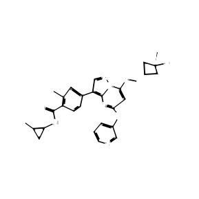 Cc1cc(-c2cnn3c(NC[C@H]4C[C@@](C)(O)C4)cc(Oc4cccnc4)nc23)ccc1C(=O)NC1CC1C